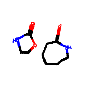 O=C1CCCCCN1.O=C1NCCO1